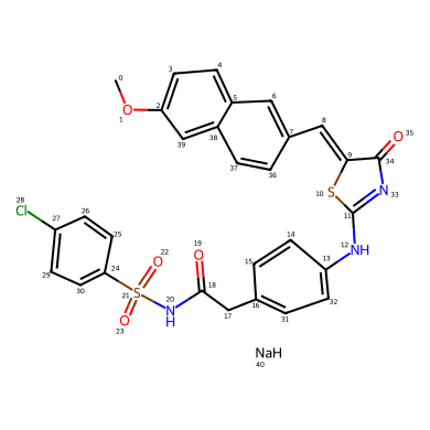 COc1ccc2cc(/C=C3\SC(Nc4ccc(CC(=O)NS(=O)(=O)c5ccc(Cl)cc5)cc4)=NC3=O)ccc2c1.[NaH]